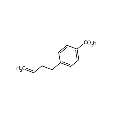 C=CCCc1ccc(C(=O)O)cc1